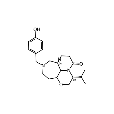 CC(C)[C@H]1COC2CCN(Cc3ccc(O)cc3)C[C@H]3CCC(=O)N1C23